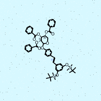 CC(C)(C)[Si](C)(C)Oc1cc(/C=C/c2ccc(OC3OC[C@@H](OC(=O)c4ccccc4)[C@H](OC(=O)c4ccccc4)[C@H]3OC(=O)c3ccccc3)cc2)cc(O[Si](C)(C)C(C)(C)C)c1